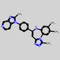 Cc1cc2c(cc1C)-n1c(C)nnc1C=C(c1ccc(-n3c(C)nc4cnccc43)cc1)N2